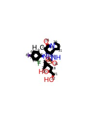 Cc1c(Nc2ccc(I)cc2F)c(NS(=O)(=O)C2(CC(O)CO)CC2)c2n(c1=O)CCC2